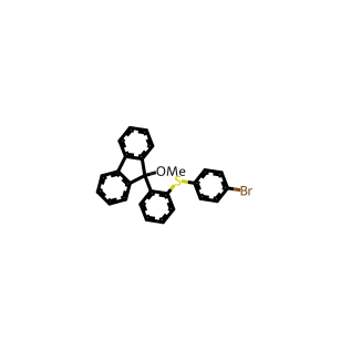 COC1(c2ccccc2Sc2ccc(Br)cc2)c2ccccc2-c2ccccc21